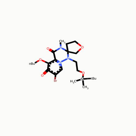 CCCCOc1c2n(cc(Br)c1=O)N(CCO[Si](C)(C)C(C)(C)C)C1(CCOC1)N(C)C2=O